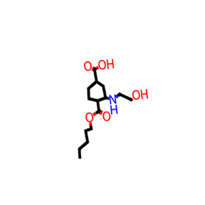 CCCCCOC(=O)C1CCC(C(=O)O)CC1NCCO